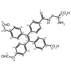 N[C@@H](CNC(=O)c1ccc(/C(=C(/c2ccc(OC=O)cc2)c2ccc(C(=O)O)cc2)c2ccc(OC=O)cc2)cc1)C(=O)O